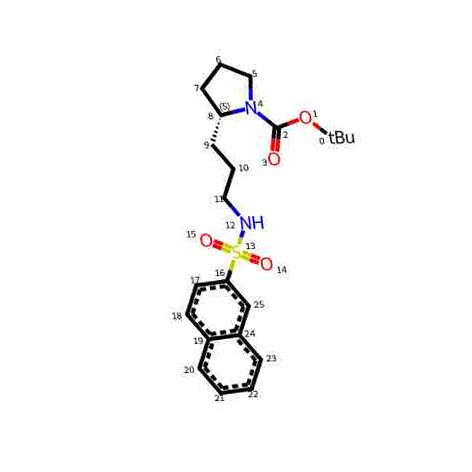 CC(C)(C)OC(=O)N1CCC[C@H]1CCCNS(=O)(=O)c1ccc2ccccc2c1